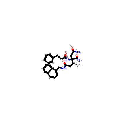 C[C@@H](CC(=O)NCc1cccc2ccccc12)C(CC(N)=O)(NC(=O)CCc1ccccc1)C(N)=O